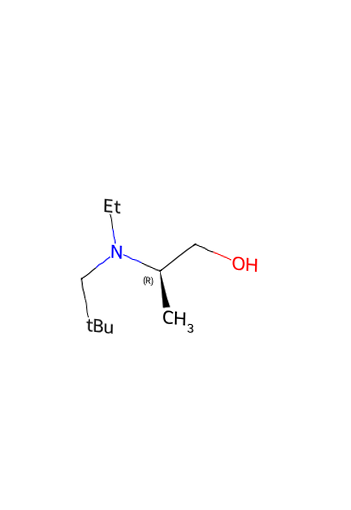 CCN(CC(C)(C)C)[C@H](C)CO